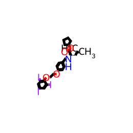 CC(C)C[C@H](NCc1ccc(OCCOc2c(I)cc(I)cc2I)cc1)C(=O)OC1CCCC1